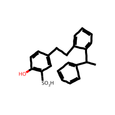 CC(c1ccccc1)c1ccccc1CCc1ccc(O)c(S(=O)(=O)O)c1